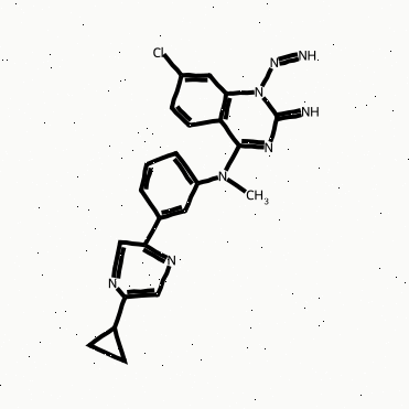 CN(c1cccc(-c2cnc(C3CC3)cn2)c1)c1nc(=N)n(N=N)c2cc(Cl)ccc12